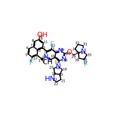 C#Cc1c(F)ccc2cc(O)cc(-c3ncc4c(N5CC6CCNC6C5)nc(OC[C@@]56CCCN5C[C@H](F)C6)nc4c3F)c12